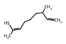 C=CC(C)CCC/C=C(/C)S